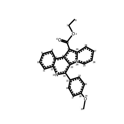 CCOC(=O)c1c2c3ccccc3nc(-c3ccc(OC)cc3)c2n2ccccc12